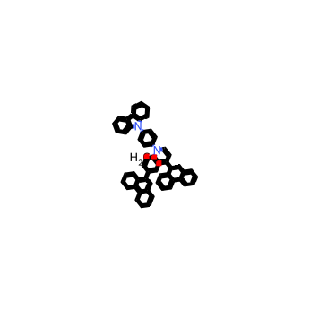 C=C/C=C(\C=C/N(c1ccc(-c2cc3c(c4c2C=CCC4)CCC=C3)cc1)c1ccc(-n2c3c(c4ccccc42)C=CCC3)cc1)c1cc2ccccc2c2ccccc12